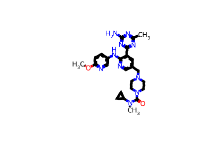 COc1ccc(Nc2ncc(CN3CCN(C(=O)N(C)C4CC4)CC3)cc2-c2nc(C)nc(N)n2)cn1